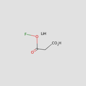 O=C(O)CC(=O)OF.[LiH]